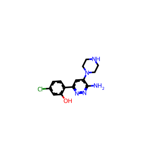 Nc1nnc(-c2ccc(Cl)cc2O)cc1N1CCNCC1